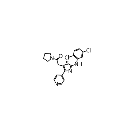 O=C(Cc1sc(Nc2cc(Cl)ccc2Cl)nc1-c1ccncc1)N1CCCC1